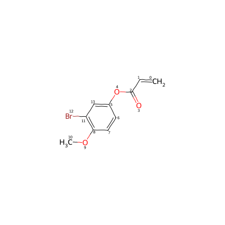 C=CC(=O)Oc1ccc(OC)c(Br)c1